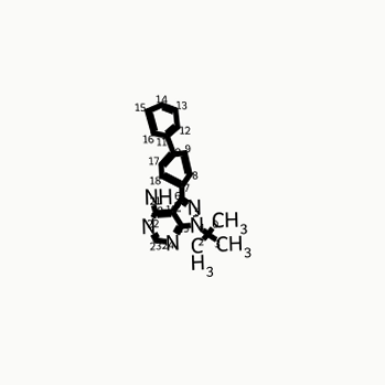 CC(C)(C)n1nc(-c2ccc(-c3ccccc3)cc2)c2c(N)ncnc21